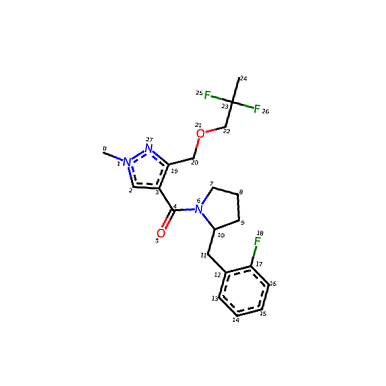 Cn1cc(C(=O)N2CCCC2Cc2ccccc2F)c(COCC(C)(F)F)n1